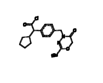 CC(C)(C)C1=NN(Cc2ccc(C(C(=O)Cl)C3CCCC3)cc2)C(=O)CO1